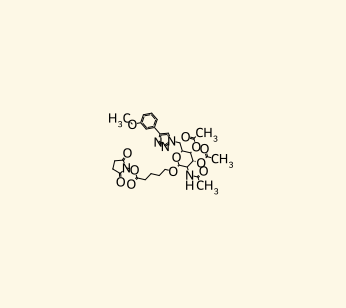 COc1cccc(-c2cn(CC3O[C@H](OCCCCC(=O)ON4C(=O)CCC4=O)C(NC(C)=O)[C@@H](OC(C)=O)[C@H]3OC(C)=O)nn2)c1